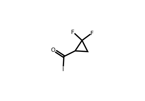 O=C(I)C1CC1(F)F